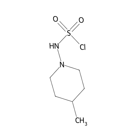 CC1CCN(NS(=O)(=O)Cl)CC1